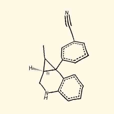 CC1[C@@H]2CNc3ccccc3C12c1cccc(C#N)c1